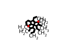 C=C/C=C\C(=C(C=C)C=C)C1(C(=C/C=C)/C(C=C)=C\C)C(C=C)=C(/C=C\C)c2ccccc21